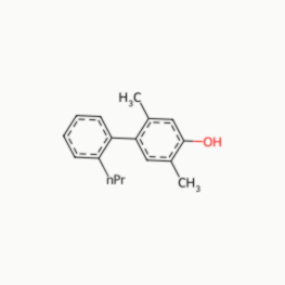 CCCc1ccccc1-c1cc(C)c(O)cc1C